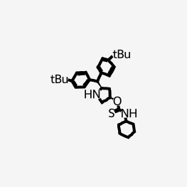 CC(C)(C)c1ccc(C(c2ccc(C(C)(C)C)cc2)[C@H]2C[C@@H](OC(=S)NC3CCCCC3)CN2)cc1